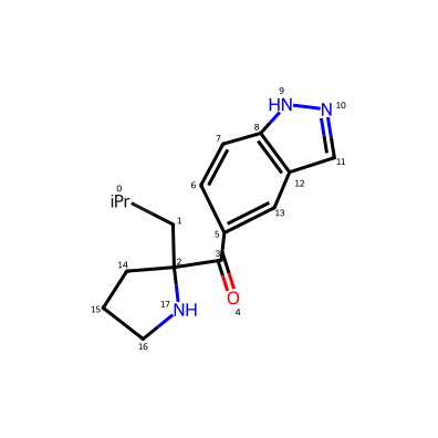 CC(C)CC1(C(=O)c2ccc3[nH]ncc3c2)CCCN1